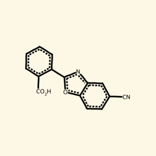 N#Cc1ccc2oc(-c3ccccc3C(=O)O)nc2c1